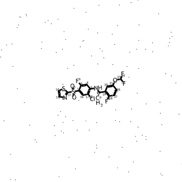 C[C@H](Nc1cc(F)c(S(=O)(=O)c2n[c]cs2)cc1Cl)c1cc(OC(F)F)ccc1F